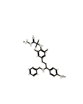 CSc1ccc(C(CCc2cc(C)c(OC(C)(C)C(=O)ON)c(C)c2)OCc2ccccc2)cc1